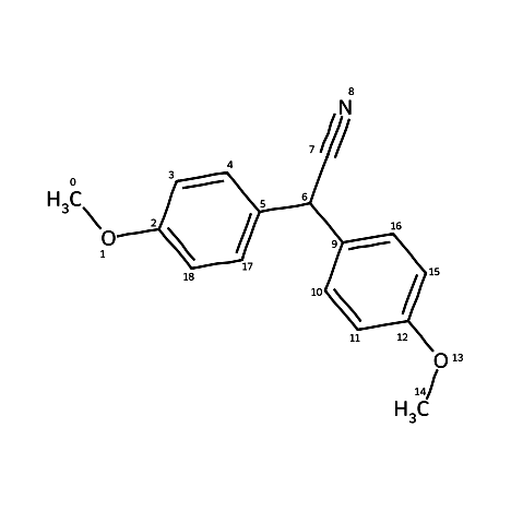 COc1ccc(C(C#N)c2ccc(OC)cc2)cc1